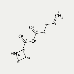 C=CCCC(=O)OC(=O)C1CCN1